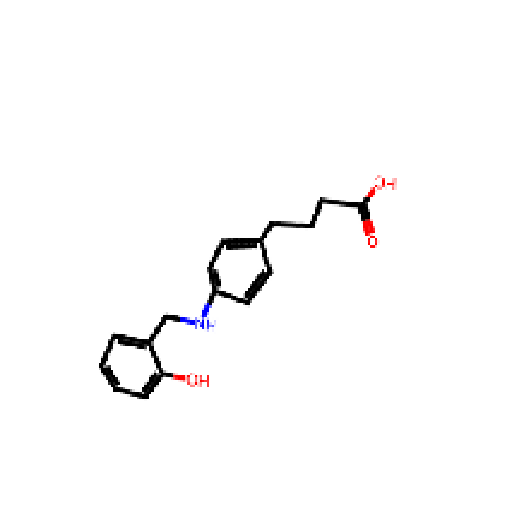 O=C(O)CCCc1ccc(NCc2ccccc2O)cc1